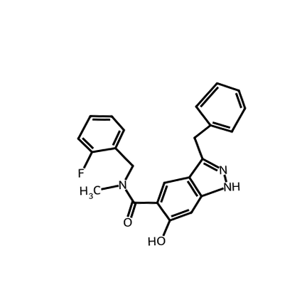 CN(Cc1ccccc1F)C(=O)c1cc2c(Cc3ccccc3)n[nH]c2cc1O